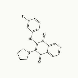 O=C1C(Nc2cccc(F)c2)=C(N2CCCC2)C(=O)c2ccccc21